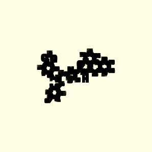 Cc1ccc(CN(Cc2ccc3c(c2)OCO3)Cc2nc(C(=O)NC(Cc3ccccc3)c3ccccc3)cs2)cc1